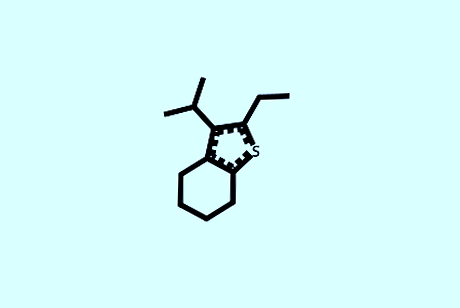 CCc1sc2c(c1C(C)C)CCCC2